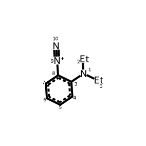 CCN(CC)c1ccccc1[N+]#N